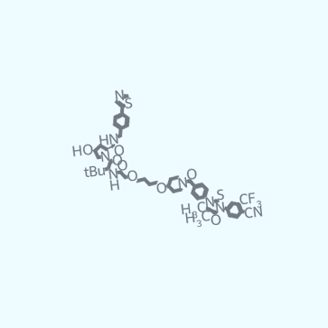 CC(C)(C)C(NC(=O)COCCCCOC1CCN(C(=O)c2ccc(N3C(=S)N(c4ccc(C#N)c(C(F)(F)F)c4)C(=O)C3(C)C)cc2)CC1)C(=O)N1C[C@H](O)C[C@H]1C(=O)NCc1ccc(-c2cncs2)cc1